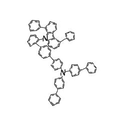 c1ccc(-c2ccc(N(c3ccc(-c4ccccc4)cc3)c3ccc(-c4ccc(-c5ccccc5-n5c6cccc(-c7ccccc7)c6c6cccc(-c7ccccc7)c65)cc4)cc3)cc2)cc1